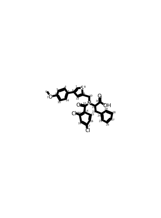 COc1ccc(-c2csc(CN(C(=O)c3ccc(Cl)cc3Cl)C(Cc3ccccc3)C(=O)O)c2)cc1